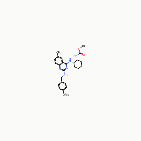 COc1ccc(CNc2nc(N[C@H]3CCCC[C@H]3NC(=O)OC(C)(C)C)c3cc(C)ccc3n2)cc1